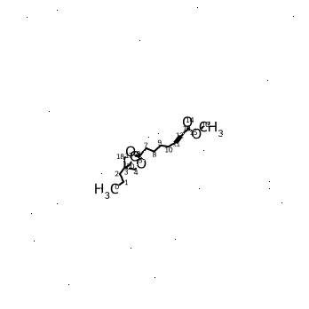 CCCC12COC(CCCCC#CC(=O)OC)(OC1)OC2